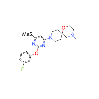 CSc1cc(N2CCC3(CC2)CN(C)CCO3)nc(Oc2cccc(F)c2)n1